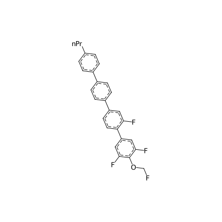 CCCc1ccc(-c2ccc(-c3ccc(-c4cc(F)c(OCF)c(F)c4)c(F)c3)cc2)cc1